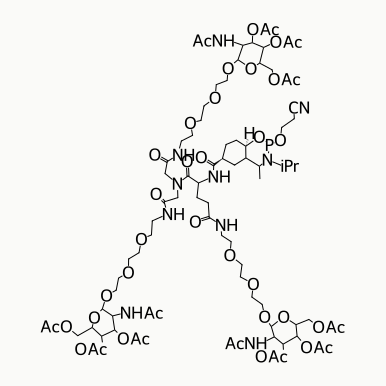 CC(=O)NC1C(OCCOCCOCCNC(=O)CCC(NC(=O)[C@H]2CC[C@H]3OP(OCCC#N)N(C(C)C)C(C)C3C2)C(=O)N(CC(=O)NCCOCCOCCOC2OC(COC(C)=O)C(OC(C)=O)C(OC(C)=O)C2NC(C)=O)CC(=O)NCCOCCOCCOC2OC(COC(C)=O)C(OC(C)=O)C(OC(C)=O)C2NC(C)=O)OC(COC(C)=O)C(OC(C)=O)C1OC(C)=O